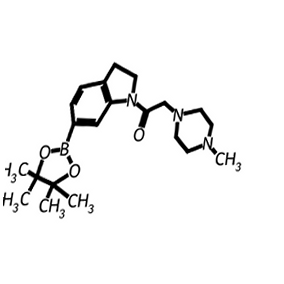 CN1CCN(CC(=O)N2CCc3ccc(B4OC(C)(C)C(C)(C)O4)cc32)CC1